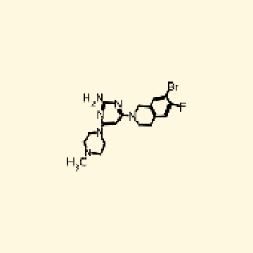 CN1CCN(c2cc(N3CCc4cc(F)c(Br)cc4C3)nc(N)n2)CC1